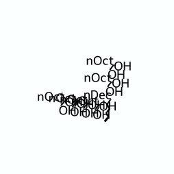 C=CCCCCCCCCCCCCCC.CCCCCCCCC(O)CO.CCCCCCCCC(O)CO.CCCCCCCCC(O)CO.CCCCCCCCC(O)CO.CCCCCCCCC(O)CO.CCCCCCCCC(O)CO